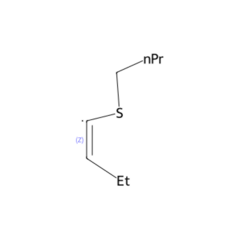 CC/C=[C]\SCCCC